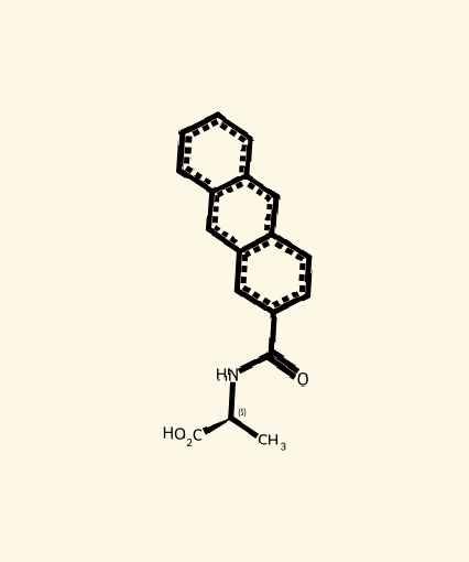 C[C@H](NC(=O)c1ccc2cc3ccccc3cc2c1)C(=O)O